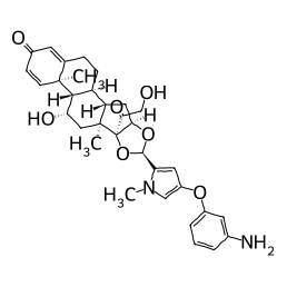 Cn1cc(Oc2cccc(N)c2)cc1[C@@H]1O[C@@H]2C[C@H]3[C@@H]4CCC5=CC(=O)C=C[C@]5(C)[C@H]4[C@@H](O)C[C@]3(C)[C@]2(C(=O)CO)O1